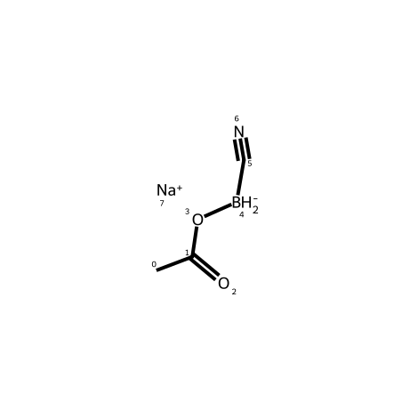 CC(=O)O[BH2-]C#N.[Na+]